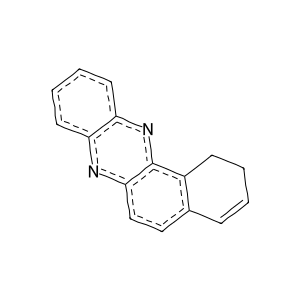 C1=Cc2ccc3nc4ccccc4nc3c2CC1